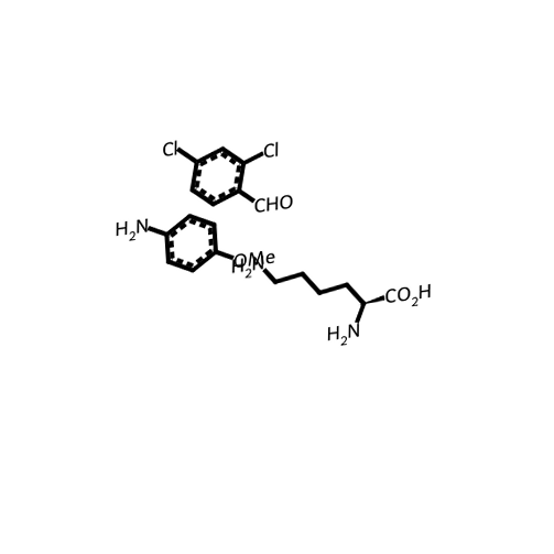 COc1ccc(N)cc1.NCCCC[C@H](N)C(=O)O.O=Cc1ccc(Cl)cc1Cl